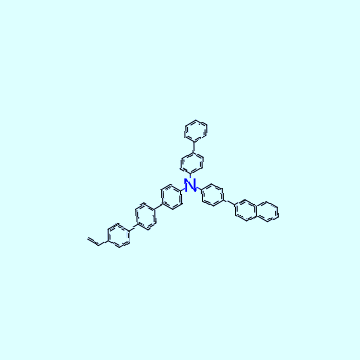 C=Cc1ccc(-c2ccc(-c3ccc(N(c4ccc(-c5ccccc5)cc4)c4ccc(-c5ccc6ccccc6c5)cc4)cc3)cc2)cc1